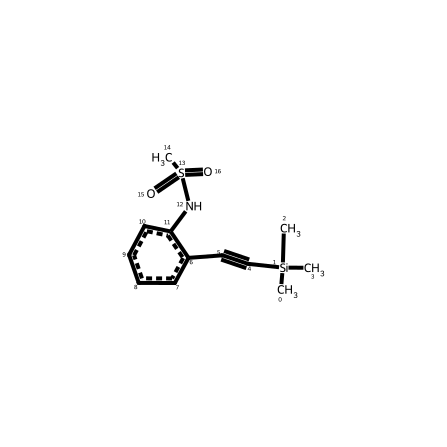 C[Si](C)(C)C#Cc1ccccc1NS(C)(=O)=O